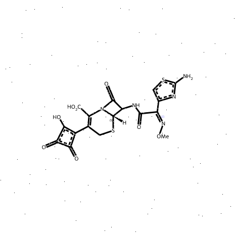 CO/N=C(\C(=O)NC1C(=O)N2C(C(=O)O)=C(c3c(O)c(=O)c3=O)CS[C@@H]12)c1csc(N)n1